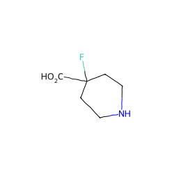 O=C(O)C1(F)CCNCC1